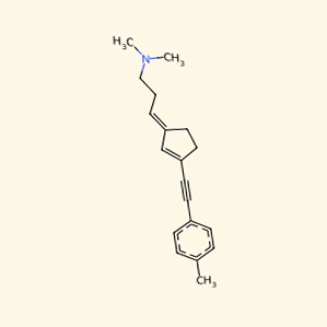 Cc1ccc(C#CC2=C/C(=C/CCN(C)C)CC2)cc1